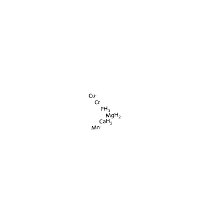 P.[CaH2].[Cr].[Cu].[MgH2].[Mn]